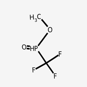 CO[PH](=O)C(F)(F)F